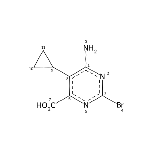 Nc1nc(Br)nc(C(=O)O)c1C1CC1